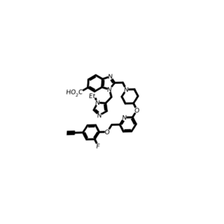 C#Cc1ccc(OCc2cccc(OC3CCN(Cc4nc5ccc(C(=O)O)cc5n4Cc4cncn4CC)CC3)n2)c(F)c1